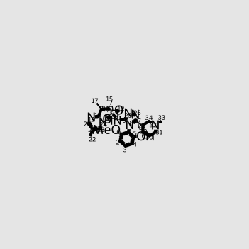 COc1cccc(O)c1-n1c(NS(=O)(=O)[C@@H](C)[C@H](C)c2ncc(C)cn2)nnc1[C@H]1C=CCN(C)C1